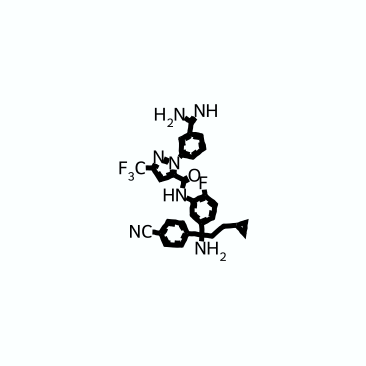 N#Cc1ccc(C(N)(CCC2CC2)c2ccc(F)c(NC(=O)c3cc(C(F)(F)F)nn3-c3cccc(C(=N)N)c3)c2)cc1